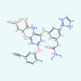 Cc1ccc(C#N)cc1Oc1nc(Oc2cc(CC(=O)N(C)C)cc(-c3ncc[nH]3)c2)c2c(n1)OC(C=S(=O)=O)C(=O)N2